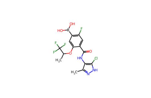 Cc1n[nH]c(Cl)c1NC(=O)c1cc(F)c(B(O)O)cc1OC(C)C(F)(F)F